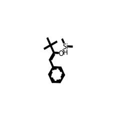 C[SiH](C)OC(=Cc1ccccc1)C(C)(C)C